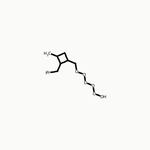 CC(C)CC1C(C)CC1COOOOOO